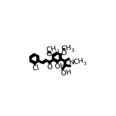 COc1cc(OC)c(C2CN(C)CC2CO)c(O)c1C(=O)C=Cc1ccccc1Cl